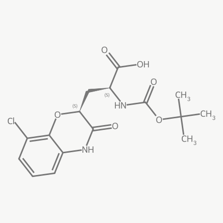 CC(C)(C)OC(=O)N[C@@H](C[C@@H]1Oc2c(Cl)cccc2NC1=O)C(=O)O